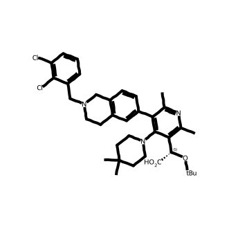 Cc1nc(C)c([C@H](OC(C)(C)C)C(=O)O)c(N2CCC(C)(C)CC2)c1-c1ccc2c(c1)CCN(Cc1cccc(Cl)c1Cl)C2